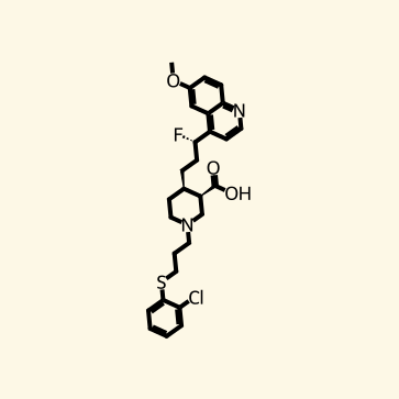 COc1ccc2nccc([C@@H](F)CC[C@@H]3CCN(CCCSc4ccccc4Cl)C[C@@H]3C(=O)O)c2c1